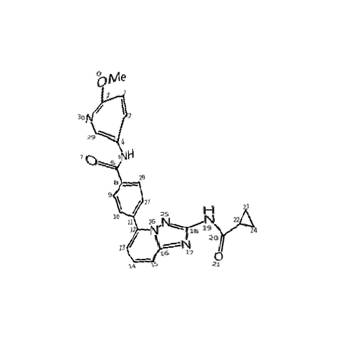 COc1ccc(NC(=O)c2ccc(-c3cccc4nc(NC(=O)C5CC5)nn34)cc2)cn1